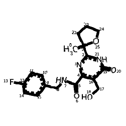 CC1(c2nc(C(=O)NCc3ccc(F)cc3)c(CO)c(=O)[nH]2)CCCO1